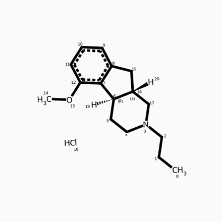 CCCN1CC[C@H]2c3c(cccc3OC)C[C@@H]2C1.Cl